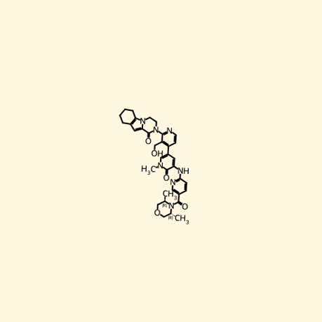 C[C@@H]1COC[C@@H](C)N1C(=O)c1ccc(Nc2cc(-c3ccnc(N4CCn5c(cc6c5CCCC6)C4=O)c3CO)cn(C)c2=O)nc1